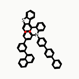 c1ccc(-c2ccc(-c3ccc(N(c4cccc(-c5cccc(-c6cccc7ccccc67)c5)c4)c4ccccc4-c4cccc5sc6ccccc6c45)cc3)cc2)cc1